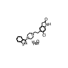 Br.O.O=C1Cc2cc(CCN3CCN(c4nsc5ccccc45)CC3)c(Cl)cc2N1